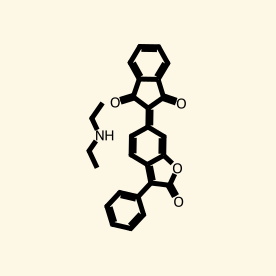 CCNCC.O=C1Oc2cc(=C3C(=O)c4ccccc4C3=O)ccc2=C1c1ccccc1